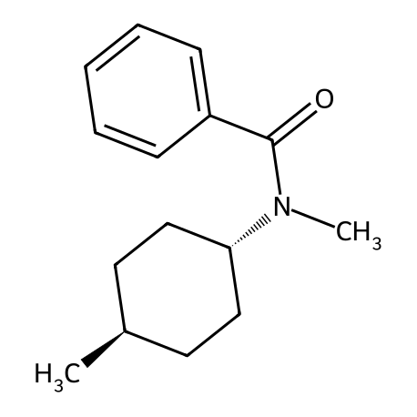 CN(C(=O)c1ccccc1)[C@H]1CC[C@H](C)CC1